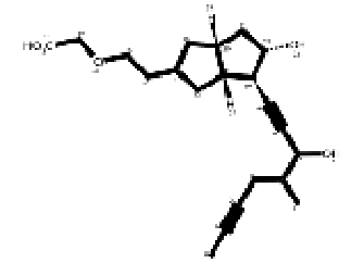 CC#CCC(C)C(O)C#C[C@H]1[C@@H]2CC(CCOCC(=O)O)C[C@@H]2C[C@@H]1O